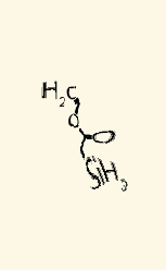 C=COC(=O)C[SiH3]